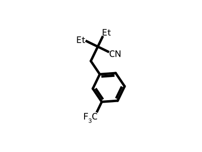 CCC(C#N)(CC)Cc1cccc(C(F)(F)F)c1